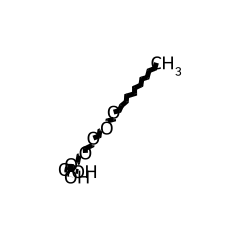 CCCCCCCCCCCCOCCOCCOCCOCCOP(=O)(O)O